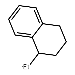 C[CH]C1CCCc2ccccc21